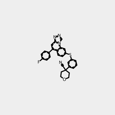 N#CC1(c2cccc(Sc3ccc4c(-c5ccc(F)cc5)cc5nncn5c4c3)c2)CCOCC1